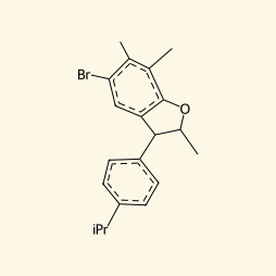 Cc1c(Br)cc2c(c1C)OC(C)C2c1ccc(C(C)C)cc1